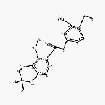 COc1ccc(CC(=O)c2ccc3c(c2OC)C=CC(C)(C)O3)cc1O